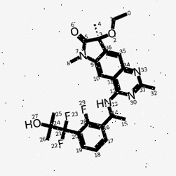 CCO[C@]1(C)C(=O)N(C)c2cc3c(NC(C)c4cccc(C(F)(F)C(C)(C)O)c4F)nc(C)nc3cc21